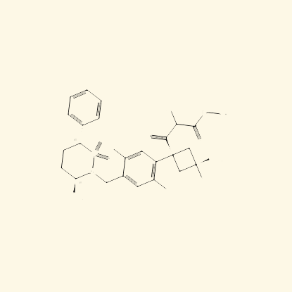 CC(C(=O)NO)C(=O)[C@]1(c2cc(F)c(CN3[C@@H](C)CC[C@H](c4ccccc4)S3(=O)=O)cc2F)C[C@@](C)(O)C1